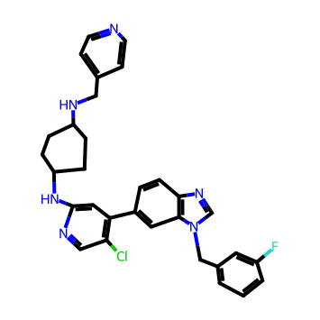 Fc1cccc(Cn2cnc3ccc(-c4cc(NC5CCC(NCc6ccncc6)CC5)ncc4Cl)cc32)c1